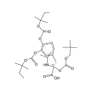 CCC(C)(C)OC(=O)Oc1ccc(C[C@](NC(C)C)(OC(=O)OCC(C)(C)C)C(=O)O)cc1OC(=O)OC(C)(C)CC